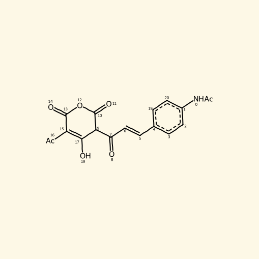 CC(=O)Nc1ccc(C=CC(=O)C2C(=O)OC(=O)C(C(C)=O)=C2O)cc1